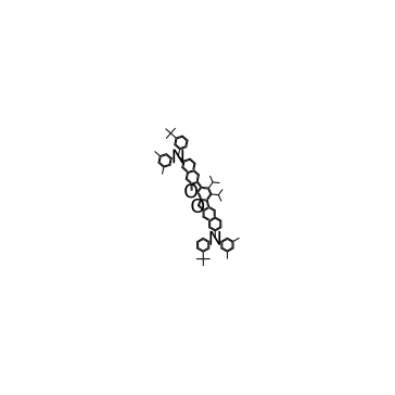 Cc1cc(C)cc(N(c2cccc(C(C)(C)C)c2)c2ccc3cc4c(cc3c2)oc2c3oc5cc6cc(N(c7cc(C)cc(C)c7)c7cccc(C(C)(C)C)c7)ccc6cc5c3c(C(C)C)c(C(C)C)c42)c1